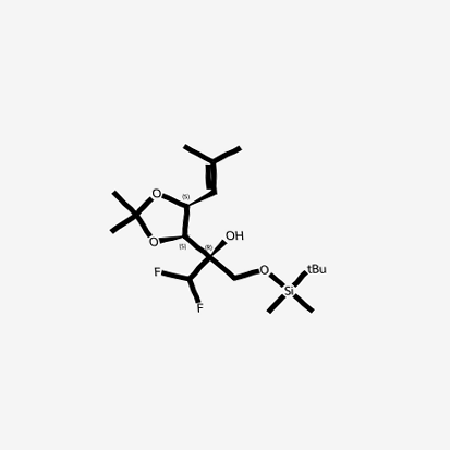 CC(C)=C[C@@H]1OC(C)(C)O[C@@H]1[C@](O)(CO[Si](C)(C)C(C)(C)C)C(F)F